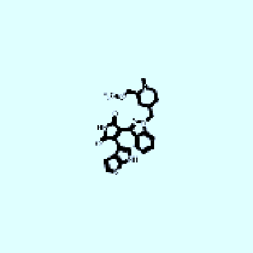 CN1CCC(Cn2nc(C3=C(c4c[nH]c5sccc45)C(=O)NC3=O)c3ccccc32)CC1COC(F)(F)F